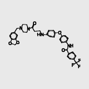 O=C(Nc1ccc(Oc2ccc(NCCC(=O)N3CCN(Cc4ccc5c(c4)OCO5)CC3)cc2)cc1)c1ccc(C(F)(F)F)cc1